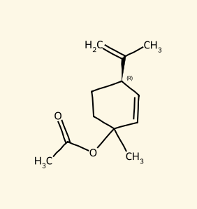 C=C(C)[C@H]1C=CC(C)(OC(C)=O)CC1